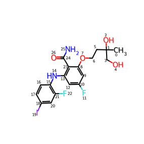 CC(O)(CO)CCOc1cc(F)cc(Nc2ccc(I)cc2F)c1C(N)=O